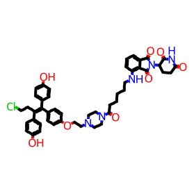 O=C1CCC(N2C(=O)c3cccc(NCCCCCC(=O)N4CCN(CCOc5ccc(C(=C(CCCl)c6ccc(O)cc6)c6ccc(O)cc6)cc5)CC4)c3C2=O)C(=O)N1